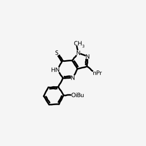 CCCc1nn(C)c2c(=S)[nH]c(-c3ccccc3OCC(C)C)nc12